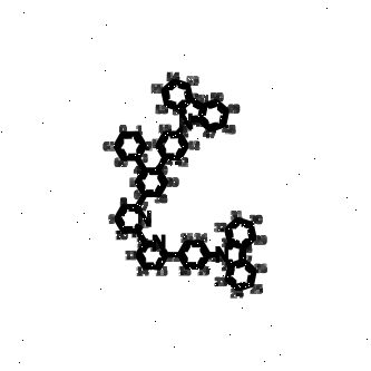 c1ccc(-c2cc(-c3cccc(-c4cccc(-c5ccc(-n6c7ccccc7c7ccccc76)cc5)n4)n3)ccc2-c2ccc(-n3c4ccccc4c4ccccc43)cc2)cc1